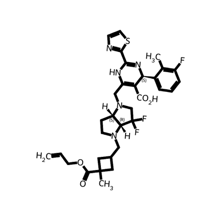 C=CCOC(=O)C1(C)CC(CN2CC[C@H]3[C@@H]2C(F)(F)CN3CC2=C(C(=O)O)[C@H](c3cccc(F)c3C)N=C(c3nccs3)N2)C1